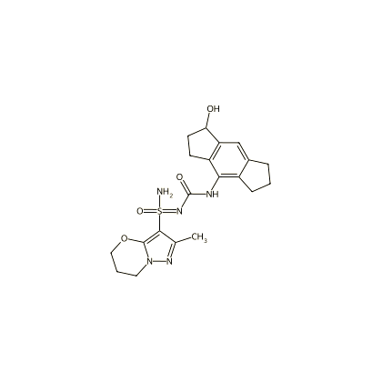 Cc1nn2c(c1S(N)(=O)=NC(=O)Nc1c3c(cc4c1CCC4O)CCC3)OCCC2